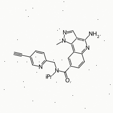 C#Cc1ccc(CN(C(=O)c2ccc3nc(N)c4cnn(C)c4c3c2)C(C)C)nc1